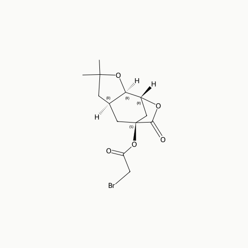 CC1(C)C[C@@H]2C[C@]3(OC(=O)CBr)C[C@@H](OC3=O)[C@@H]2O1